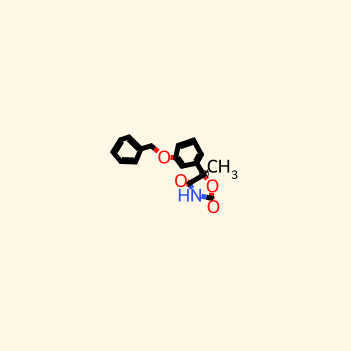 C[C@]1(c2cccc(OCc3ccccc3)c2)OC(=O)NC1=O